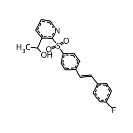 CC(O)c1cccnc1S(=O)(=O)c1ccc(/C=C/c2ccc(F)cc2)cc1